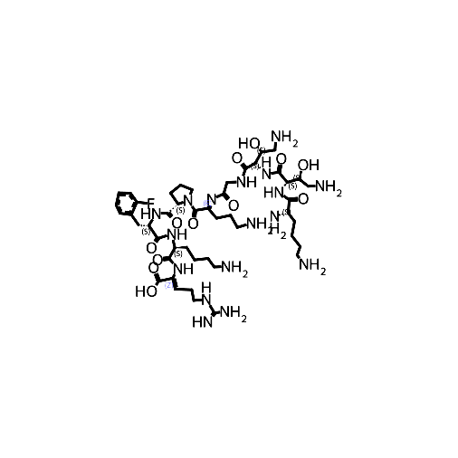 N=C(N)NCC/C=C(\NC(=O)[C@H](CCCCN)NC(=O)[C@H](Cc1ccccc1F)NC(=O)[C@@H]1CCCN1C(=O)/C(CCCN)=N/C(=O)CNC(=O)[C@@H](NC(=O)[C@@H](NC(=O)[C@@H](N)CCCCN)[C@@H](O)CN)[C@@H](O)CN)C(=O)O